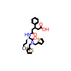 CCCC[C@H](NC(=O)CC(CC(=O)O)c1ccccc1)C(=O)N(Cc1cccs1)Cc1cccs1